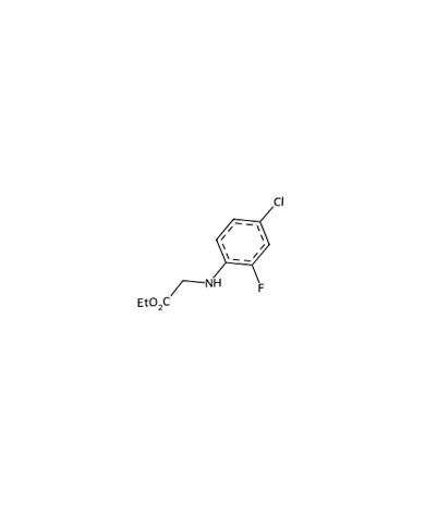 CCOC(=O)CNc1ccc(Cl)cc1F